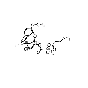 COc1ccc2c3c1O[C@@H]1C[C@@](O)(CC=C1OC(=O)[C@H](C)OC(=O)CCN)[C@H](CCCC3)C2